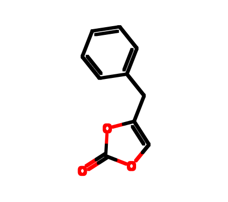 O=c1occ(Cc2ccccc2)o1